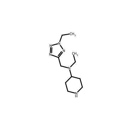 CCN(Cc1nnn(CC)n1)C1CCNCC1